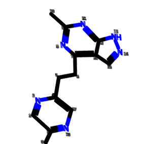 Cc1cnc(CCc2nc(C)nc3[nH]ncc23)cn1